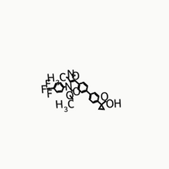 CCOC(=O)N(c1ccc(C(F)(F)F)cc1)c1c(C)noc1-c1ccc(-c2ccc(C3(C(=O)O)CC3)cc2)cc1